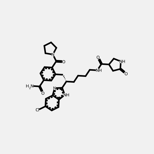 NC(=O)c1ccc(C(=O)N2CCCC2)c(C[C@H](CCCCNC(=O)C2CNC(=O)C2)c2nc3cc(Cl)ccc3[nH]2)c1